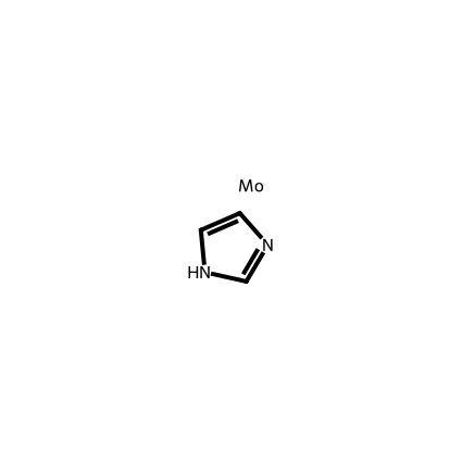 [Mo].c1c[nH]cn1